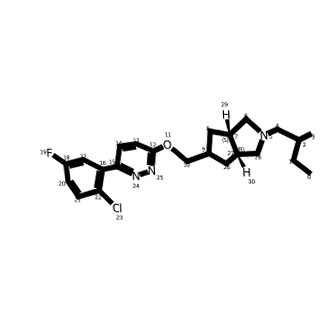 CCC(C)CN1C[C@H]2CC(COc3ccc(-c4cc(F)ccc4Cl)nn3)C[C@H]2C1